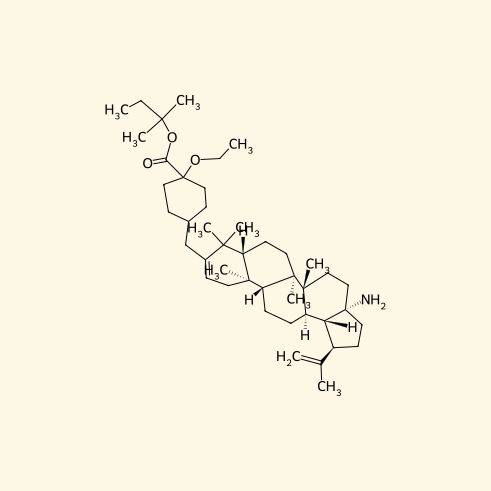 C=C(C)[C@@H]1CC[C@]2(N)CC[C@]3(C)[C@H](CC[C@@H]4[C@@]5(C)CC=C(CC6CCC(OCC)(C(=O)OC(C)(C)CC)CC6)C(C)(C)[C@@H]5CC[C@]43C)[C@@H]12